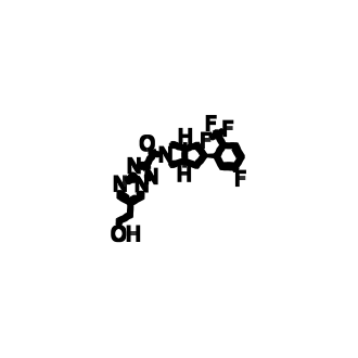 O=C(c1nc2ncc(CCO)cn2n1)N1C[C@H]2C[C@@H](C3C=C(F)C=CC3C(F)(F)F)C[C@H]2C1